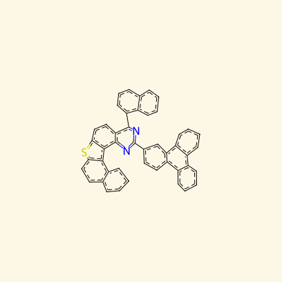 c1ccc2c(-c3nc(-c4ccc5c6ccccc6c6ccccc6c5c4)nc4c3ccc3sc5ccc6ccccc6c5c34)cccc2c1